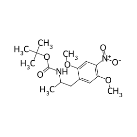 COc1cc([N+](=O)[O-])c(OC)cc1CC(C)NC(=O)OC(C)(C)C